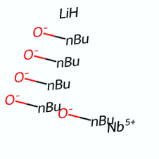 CCCC[O-].CCCC[O-].CCCC[O-].CCCC[O-].CCCC[O-].[LiH].[Nb+5]